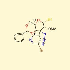 CO[C@H]1[C@@H](S)O[C@@H]2COC(c3ccccc3)O[C@@H]2C1(N=[N+]=[N-])c1cncc(Br)c1